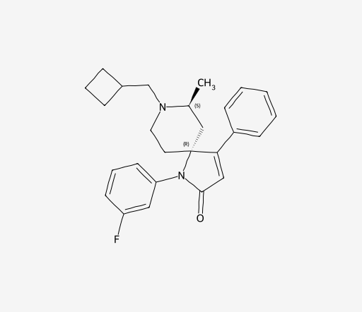 C[C@H]1C[C@]2(CCN1CC1CCC1)C(c1ccccc1)=CC(=O)N2c1cccc(F)c1